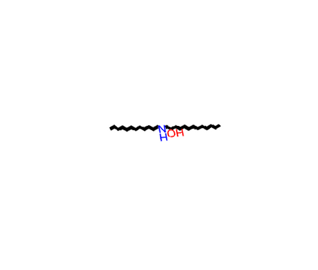 CCCCCCCCCCCCNCC(O)CCCCCCCCCCC